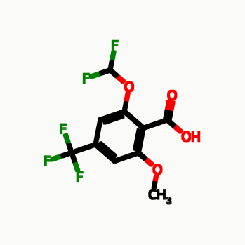 COc1cc(C(F)(F)F)cc(OC(F)F)c1C(=O)O